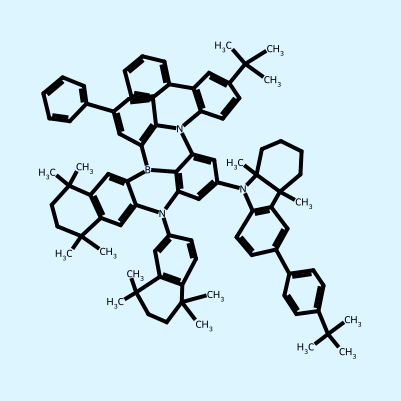 CC(C)(C)c1ccc(-c2ccc3c(c2)C2(C)CCCCC2(C)N3c2cc3c4c(c2)N(c2ccc(C(C)(C)C)cc2-c2ccccc2)c2ccc(-c5ccccc5)cc2B4c2cc4c(cc2N3c2ccc3c(c2)C(C)(C)CCC3(C)C)C(C)(C)CCC4(C)C)cc1